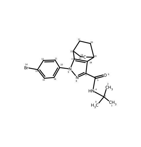 CC(C)(C)NC(=O)c1nn(-c2ccc(Br)cc2)c2c1C1CCC2CC1